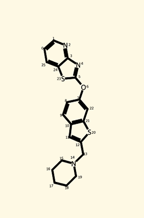 c1cnc2nc(Oc3ccc4cc(CN5CCCCC5)sc4c3)sc2c1